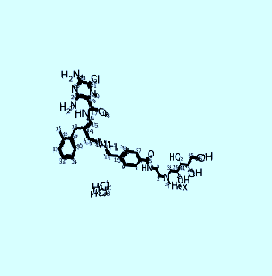 CCCCCCN(CCNC(=O)c1ccc(CNCC(CNC(=O)c2nc(Cl)c(N)nc2N)Cc2ccccc2C)cc1)C[C@H](O)[C@@H](O)[C@H](O)CO.Cl.Cl